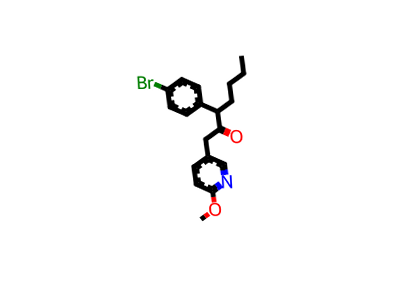 CCCCC(C(=O)Cc1ccc(OC)nc1)c1ccc(Br)cc1